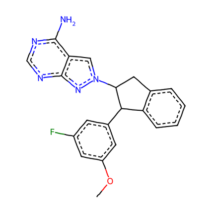 COc1cc(F)cc(C2c3ccccc3CC2n2cc3c(N)ncnc3n2)c1